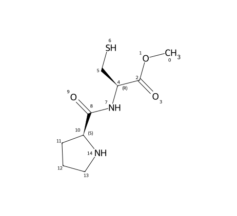 COC(=O)[C@H](CS)NC(=O)[C@@H]1CCCN1